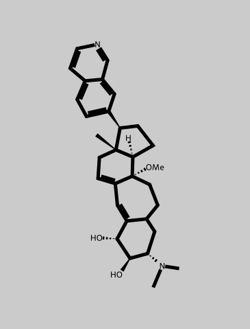 CO[C@]12CCC3C[C@H](N(C)C)[C@@H](O)[C@H](O)C3=CC1=CC[C@]1(C)[C@@H](c3ccc4ccncc4c3)CC[C@H]12